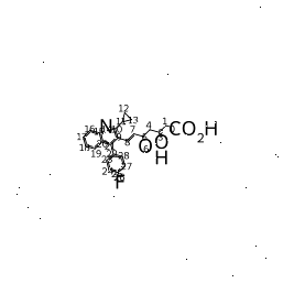 O=C(O)C[C@@H](O)CC(=O)/C=C/c1c(C2CC2)nc2ccccc2c1-c1ccc(F)cc1